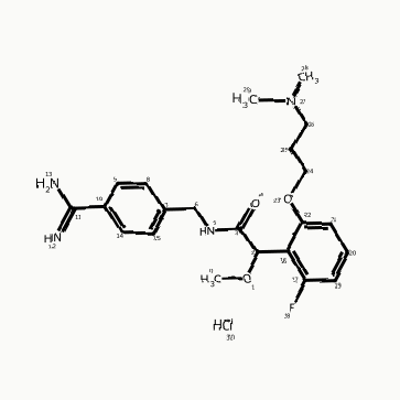 COC(C(=O)NCc1ccc(C(=N)N)cc1)c1c(F)cccc1OCCCN(C)C.Cl